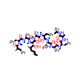 C/C=C/C[C@@H](C)C(O)[C@@H](C(=O)NC(CC)C(=O)N(C)C(CC(C)C)C(=O)N(C)[C@@H](CC(C)C)C(=O)N[C@H](C(=O)N(C)[C@@H](CC(C)C)C(=O)NC(C)C(=O)N[C@@H](C)C(C)=O)C(C)C)N(C)C(=O)C(C(C)C)N(C)C(=O)[C@H](CC(C)C)N(C)C(=O)[C@H](C)CC(C)C